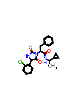 C[C@H](NC(=O)C(Cc1ccccc1)N1C(=O)NC(c2ccccc2Cl)C1=O)C1CC1